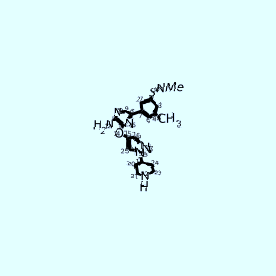 CNSc1cc(C)cc(-c2cnc(N)c(Oc3cnn(C4CCNCC4)c3)n2)c1